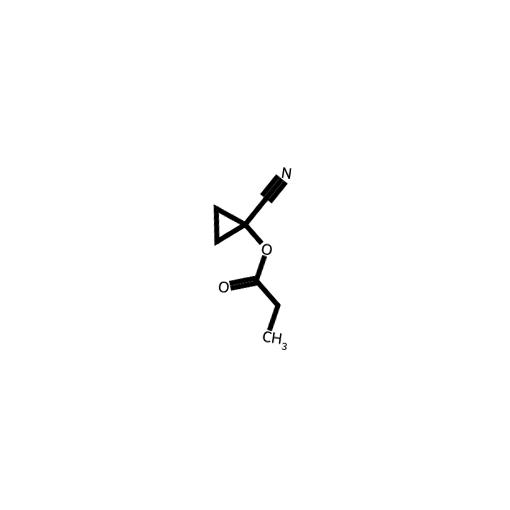 CCC(=O)OC1(C#N)CC1